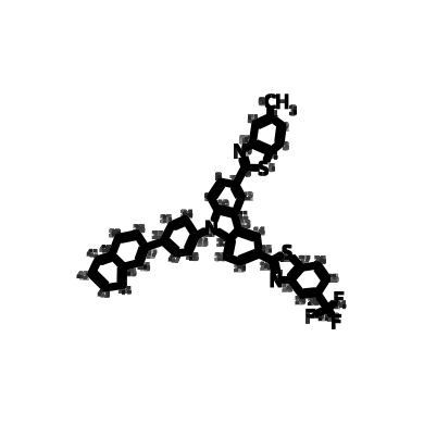 Cc1ccc2sc(-c3ccc4c(c3)c3cc(-c5nc6cc(C(F)(F)F)ccc6s5)ccc3n4-c3ccc(-c4ccc5ccccc5c4)cc3)nc2c1